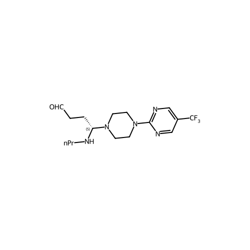 CCCN[C@H](CCC=O)N1CCN(c2ncc(C(F)(F)F)cn2)CC1